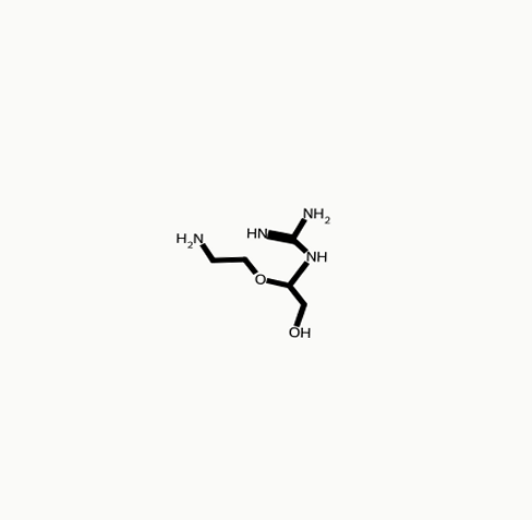 N=C(N)NC(CO)OCCN